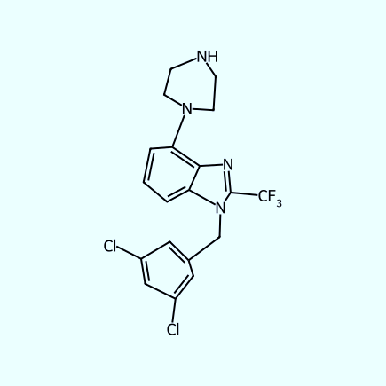 FC(F)(F)c1nc2c(N3CCNCC3)cccc2n1Cc1cc(Cl)cc(Cl)c1